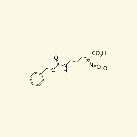 O=C=N[C@H](CCCNC(=O)OCc1ccccc1)C(=O)O